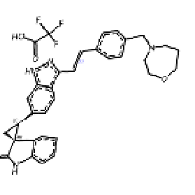 O=C(O)C(F)(F)F.O=C1Nc2ccccc2[C@]12C[C@H]2c1ccc2c(/C=C/c3ccc(CN4CCCOCC4)cc3)n[nH]c2c1